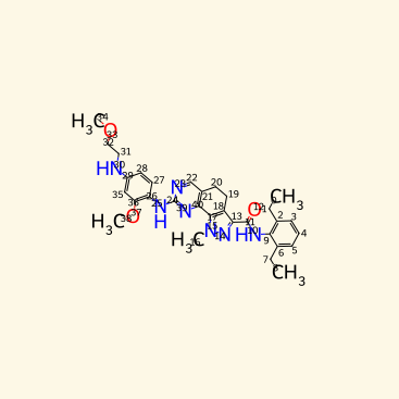 CCc1cccc(CC)c1NC(=O)c1nn(C)c2c1CCc1cnc(Nc3ccc(NCCOC)cc3OC)nc1-2